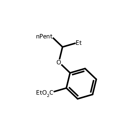 CCCCCC(CC)Oc1ccccc1C(=O)OCC